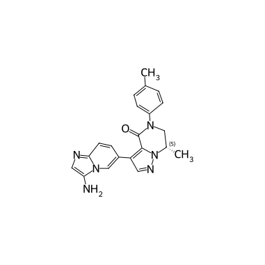 Cc1ccc(N2C[C@H](C)n3ncc(-c4ccc5ncc(N)n5c4)c3C2=O)cc1